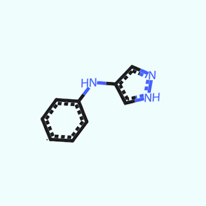 [c]1ccc(Nc2cn[nH]c2)cc1